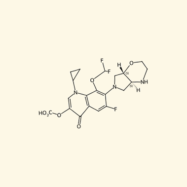 O=C(O)Oc1cn(C2CC2)c2c(OC(F)F)c(N3C[C@@H]4NCCO[C@H]4C3)c(F)cc2c1=O